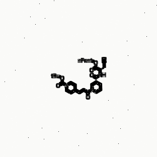 C#CC[C@H](NC(=O)[C@@H]1CCCN(C(=O)CCC2CCN(C(=O)OC(C)(C)C)CC2)C1)C(=O)OCCCCC